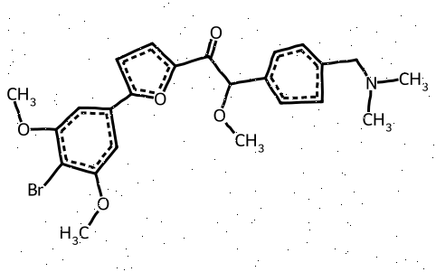 COc1cc(-c2ccc(C(=O)C(OC)c3ccc(CN(C)C)cc3)o2)cc(OC)c1Br